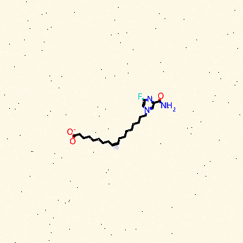 NC(=O)c1c[n+](CCCCCCCC/C=C\CCCCCCCC(=O)[O-])cc(F)n1